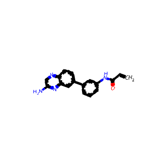 C=CC(=O)Nc1cccc(-c2ccc3ncc(N)nc3c2)c1